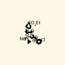 CCOC(=O)N1CCC(N2CCC2C(=O)N2C[C@H](S(=O)(=O)c3cccc(Cl)c3)C[C@H]2C(=O)N(C#N)C2CC2)CC1